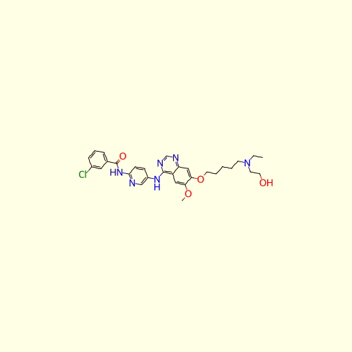 CCN(CCO)CCCCCOc1cc2ncnc(Nc3ccc(NC(=O)c4cccc(Cl)c4)nc3)c2cc1OC